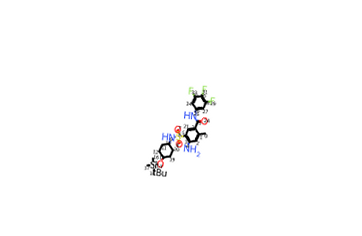 Cc1cc(N)c(S(=O)(=O)NC2CCC(O[Si](C)(C)C(C)(C)C)CC2)cc1C(=O)Nc1cc(F)c(F)c(F)c1